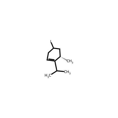 CC(C)C1=CCC(I)C[C@@H]1C